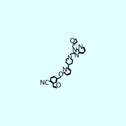 N#Cc1ccc(COc2cccc(C3CCN(Cc4nc5cccnc5n4C[C@@H]4CCO4)CC3)n2)c2occc12